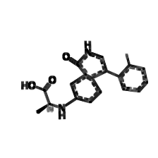 Cc1ccccc1-c1c[nH]c(=O)c2cc(N[C@@H](C)C(=O)O)ccc12